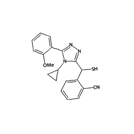 COc1ccccc1-c1nnc(C(S)c2ccccc2C#N)n1C1CC1